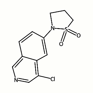 O=S1(=O)CCCN1c1ccc2cncc(Cl)c2c1